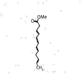 C/C=C/C/C=C/C=C/C=C/CC(=O)OC